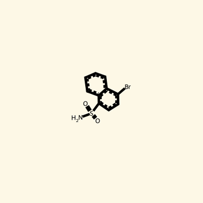 NS(=O)(=O)c1ccc(Br)c2ccccc12